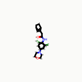 O=C(CC1CC2CCC1C2)Nc1c(F)cc(N2CCOCC2)cc1F